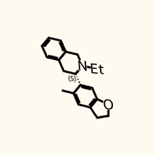 CCN1Cc2ccccc2C[C@H]1c1cc2c(cc1C)CCO2